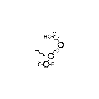 CCCC=Cc1cc(COc2cccc([C@H](C)CC(=O)O)c2)ccc1-c1cc(OC)ccc1F